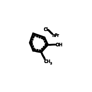 CCCCl.Cc1ccccc1O